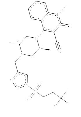 C[C@@H]1CN(c2c(C#N)c(=O)n(C)c3ccccc23)[C@@H](C)CN1Cc1cn(S(=O)(=O)CCC(F)(F)F)nn1